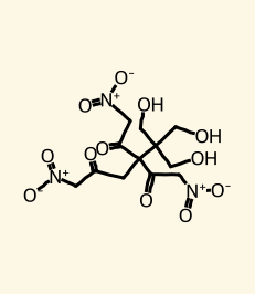 O=C(C[N+](=O)[O-])CC(C(=O)C[N+](=O)[O-])(C(=O)C[N+](=O)[O-])C(CO)(CO)CO